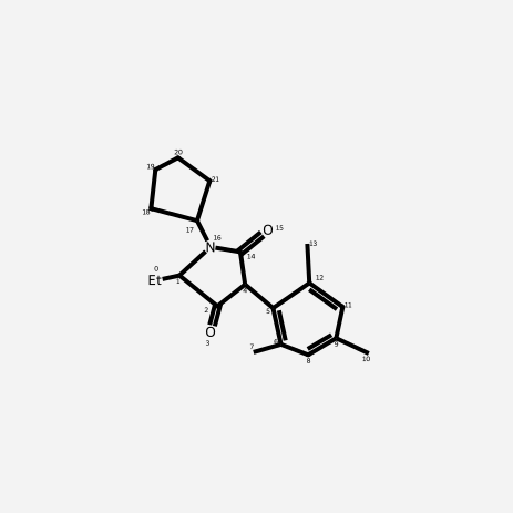 CCC1C(=O)C(c2c(C)cc(C)cc2C)C(=O)N1C1CCCC1